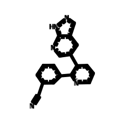 N#Cc1cccc(-c2ncccc2-c2cnc3[nH]ncc3c2)c1